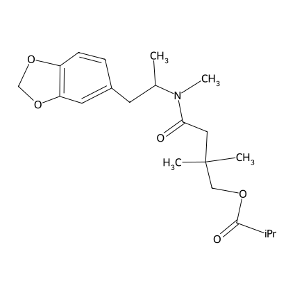 CC(C)C(=O)OCC(C)(C)CC(=O)N(C)C(C)Cc1ccc2c(c1)OCO2